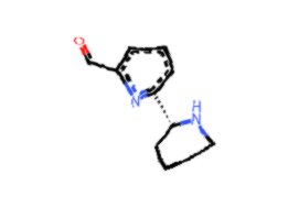 O=Cc1cccc([C@H]2CCCCN2)n1